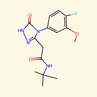 COc1cc(-n2c(CC(=O)NC(C)(C)C)n[nH]c2=O)ccc1F